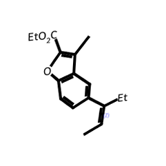 C/C=C(/CC)c1ccc2oc(C(=O)OCC)c(C)c2c1